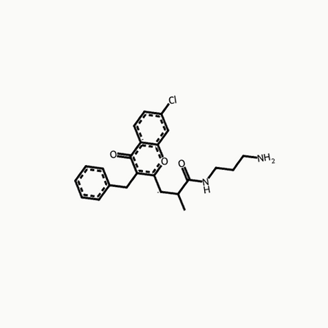 CC([CH]c1oc2cc(Cl)ccc2c(=O)c1Cc1ccccc1)C(=O)NCCCN